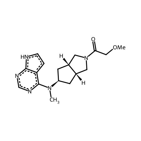 COCC(=O)N1C[C@H]2C[C@H](N(C)c3ncnc4[nH]ccc34)C[C@H]2C1